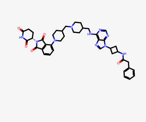 O=C1CC[C@H](N2C(=O)c3cccc(N4CCC(CN5CCC(CNc6ncnc7c6ncn7C6CC(NC(=O)Cc7ccccc7)C6)CC5)CC4)c3C2=O)C(=O)N1